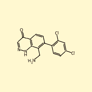 NCc1c(-c2ccc(Cl)cc2Cl)ccc2c(=O)cn[nH]c12